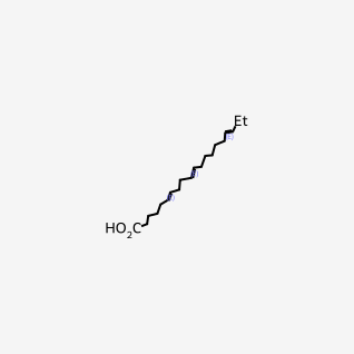 CC/C=C/CCCCC/C=C/CC/C=C/CCCCC(=O)O